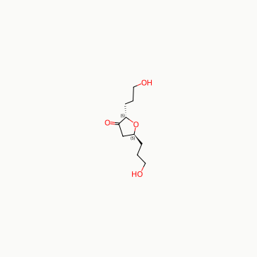 O=C1C[C@H](CCCO)O[C@H]1CCCO